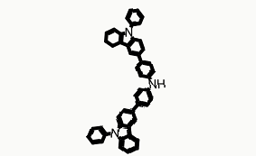 C1=Cc2c(c3cc(-c4ccc(Nc5ccc(-c6ccc7c(c6)c6ccccc6n7-c6ccccc6)cc5)cc4)ccc3n2-c2ccccc2)CC1